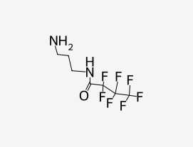 NCCCNC(=O)C(F)(F)C(F)(F)C(F)(F)F